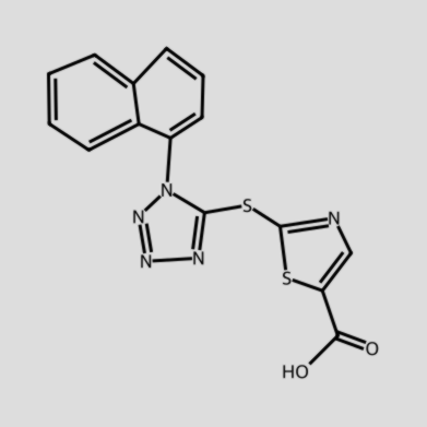 O=C(O)c1cnc(Sc2nnnn2-c2cccc3ccccc23)s1